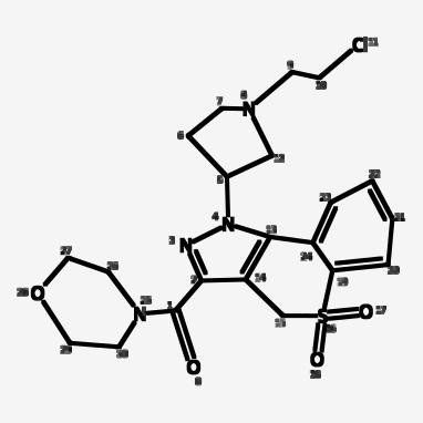 O=C(c1nn(C2CCN(CCCl)C2)c2c1CS(=O)(=O)c1ccccc1-2)N1CCOCC1